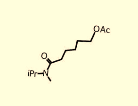 CC(=O)OCCCCCC(=O)N(C)C(C)C